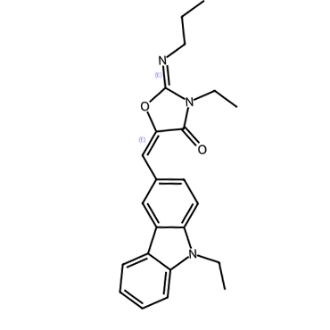 CCC/N=C1/O/C(=C/c2ccc3c(c2)c2ccccc2n3CC)C(=O)N1CC